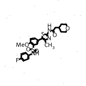 COc1ccc(-c2sc(NC(=O)CC3CCOCC3)nc2C)cc1S(=O)(=O)Nc1ccc(F)cc1